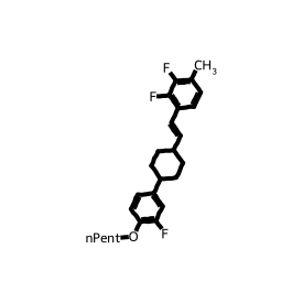 CCCCCOc1ccc(C2CCC(/C=C/c3ccc(C)c(F)c3F)CC2)cc1F